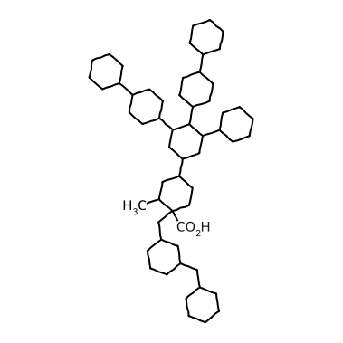 CC1CC(C2CC(C3CCCCC3)C(C3CCC(C4CCCCC4)CC3)C(C3CCC(C4CCCCC4)CC3)C2)CCC1(CC1CCCC(CC2CCCCC2)C1)C(=O)O